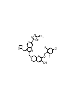 N#Cc1cc2c(nc1OCc1c(F)cc(Cl)cc1F)CN(Cc1nc3cc(-c4nnc(C(F)(F)F)[nH]4)ncc3n1C[C@@H]1CCO1)CC2